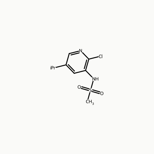 CC(C)c1cnc(Cl)c(NS(C)(=O)=O)c1